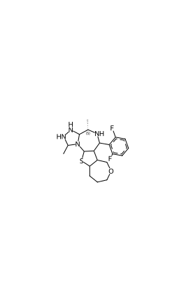 CC1NNC2[C@H](C)NC(c3c(F)cccc3F)C3C4COCCCC4SC3N12